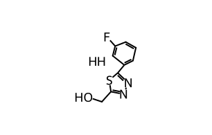 OCc1nnc(-c2cccc(F)c2)s1.[HH]